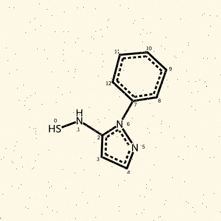 SNc1ccnn1-c1ccccc1